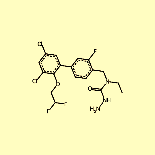 CCN(Cc1ccc(-c2cc(Cl)cc(Cl)c2OCC(F)F)cc1F)C(=O)NN